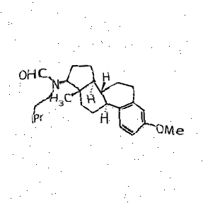 COc1ccc2c(c1)CC[C@@H]1[C@@H]2CC[C@]2(C)[C@@H](N(C=O)CCC(C)C)CC[C@@H]12